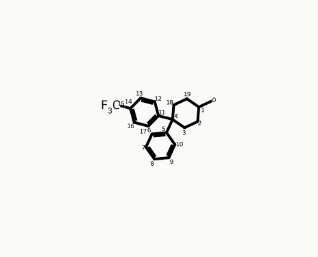 CC1CCC(c2ccccc2)(c2ccc(C(F)(F)F)cc2)CC1